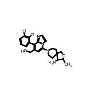 CC1OCC2(CCN(c3cc(CO)c(-c4cccc(Cl)c4Cl)c4nccn34)CC2)C1N